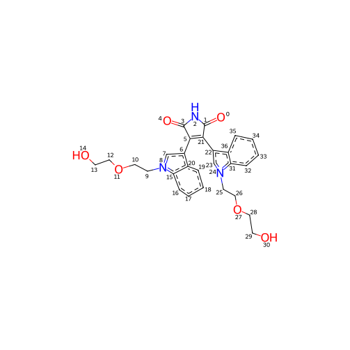 O=C1NC(=O)C(c2cn(CCOCCO)c3ccccc23)=C1c1cn(CCOCCO)c2ccccc12